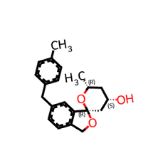 Cc1ccc(Cc2ccc3c(c2)[C@]2(C[C@@H](O)C[C@@H](C)O2)OC3)cc1